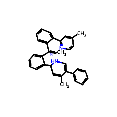 C/C=C(\c1ccccc1-c1cc(C)ccn1)c1ccccc1C1C=C(C)C(c2ccccc2)=CN1